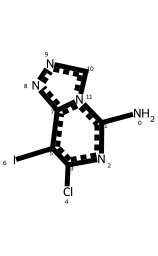 Nc1nc(Cl)c(I)c2nncn12